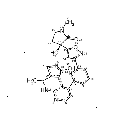 C[C@H](Nc1nccc(-c2cccc(-c3cc([C@]4(O)CCN(C)C4=O)on3)n2)n1)c1cnn(C)c1